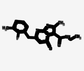 CCNC(=O)c1c(C)sc2nc(Cc3cccc(C)c3F)cc(=O)n12